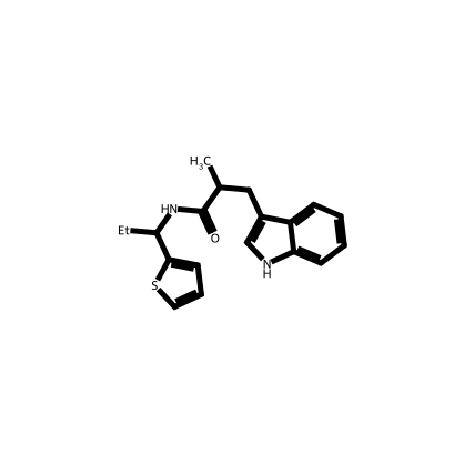 CCC(NC(=O)C(C)Cc1c[nH]c2ccccc12)c1cccs1